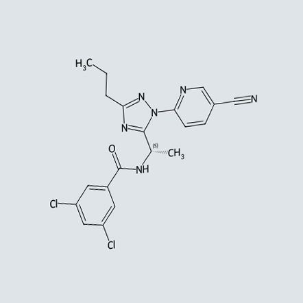 CCCc1nc([C@H](C)NC(=O)c2cc(Cl)cc(Cl)c2)n(-c2ccc(C#N)cn2)n1